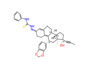 CC#C[C@]1(O)CC[C@H]2[C@@H]3CCC4=CC(=NNC(=S)Nc5ccccc5)CCC4=C3[C@@H](c3ccc4c(c3)OCO4)C[C@@]21C